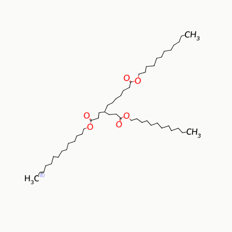 C/C=C/CCCCCCCCCCCOC(=O)CCC(CCCCCCC(=O)OCCCCCCCCCCCC)CCC(=O)OCCCCCCCCCCCC